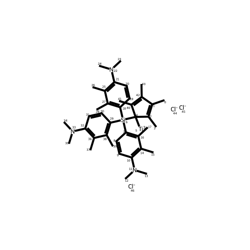 CC1=C(C)[C]([Ti+3])([Si](c2ccc(N(C)C)c(C)c2C)(c2ccc(N(C)C)c(C)c2C)c2ccc(N(C)C)c(C)c2C)C(C)=C1C.[Cl-].[Cl-].[Cl-]